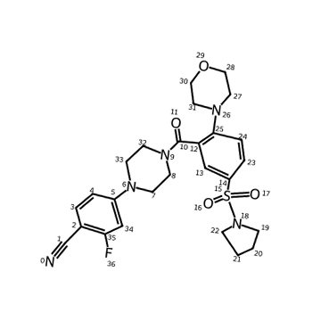 N#Cc1ccc(N2CCN(C(=O)c3cc(S(=O)(=O)N4CCCC4)ccc3N3CCOCC3)CC2)cc1F